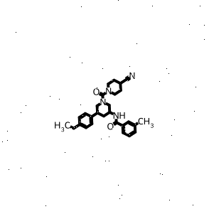 CCc1ccc(C2CC(NC(=O)c3cccc(C)c3)CN(C(=O)N3CCC(C#N)CC3)C2)cc1